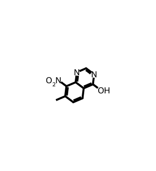 Cc1ccc2c(O)ncnc2c1[N+](=O)[O-]